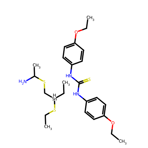 CCOc1ccc(NC(=S)Nc2ccc(OCC)cc2)cc1.CC[S][SnH]([CH2]C)[CH2]SC(C)N